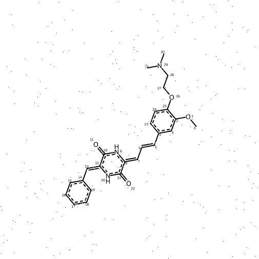 COc1cc(C=C/C=c2\[nH]c(=O)/c(=C/c3ccccc3)[nH]c2=O)ccc1OCCN(C)C